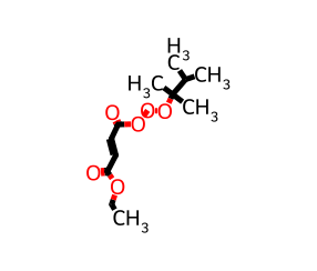 CCOC(=O)C=CC(=O)OOOC(C)(C)C(C)C